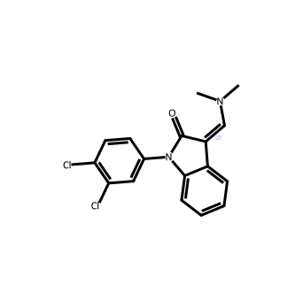 CN(C)/C=C1\C(=O)N(c2ccc(Cl)c(Cl)c2)c2ccccc21